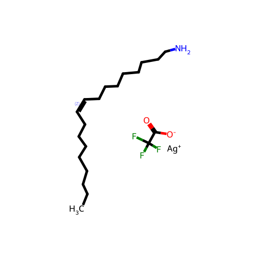 CCCCCCCC/C=C\CCCCCCCCN.O=C([O-])C(F)(F)F.[Ag+]